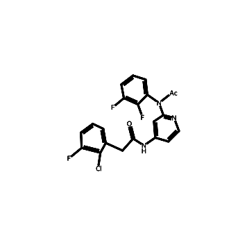 CC(=O)N(c1cc(NC(=O)Cc2cccc(F)c2Cl)ccn1)c1cccc(F)c1F